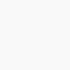 O=C(O)C(=CC1CCOCC1)c1ccc([N+](=O)[O-])cc1